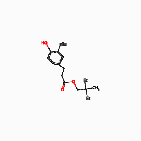 CCCCc1cc(CCC(=O)OCC(C)(CC)CC)ccc1O